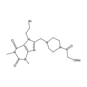 COCC(=O)N1CCN(Cc2nc3c(c(=O)n(C)c(=O)n3C)n2CCC(C)C)CC1